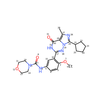 CCOc1ccc(NC(=O)N2CCOCC2)cc1-c1nn2c(C3CCCC3)nc(C)c2c(=O)[nH]1